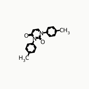 Cc1ccc(-n2ccc(=O)n(-c3ccc(C)cc3)c2=O)cc1